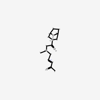 CC(=O)/C=C/CN(C)CC(=O)N1CC2CCC(C1)O2